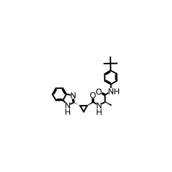 C[C@@H](NC(=O)[C@H]1C[C@@H]1c1nc2ccccc2[nH]1)C(=O)Nc1ccc(C(C)(C)C)cc1